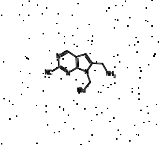 CC(C)(C)Cn1c(CN)cc2cnc(C#N)nc21